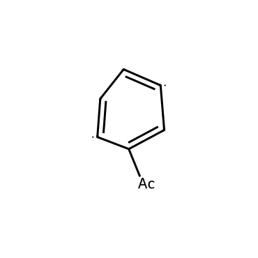 CC(=O)c1[c]cc[c]c1